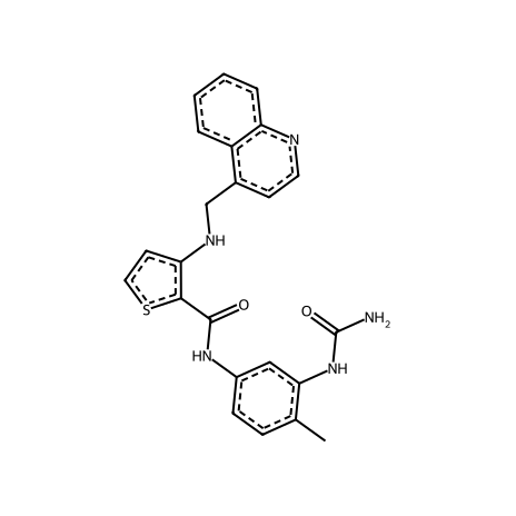 Cc1ccc(NC(=O)c2sccc2NCc2ccnc3ccccc23)cc1NC(N)=O